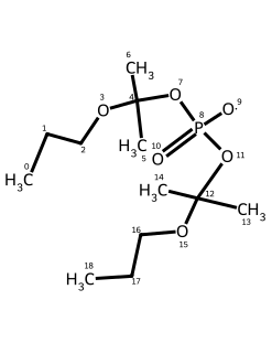 CCCOC(C)(C)OP([O])(=O)OC(C)(C)OCCC